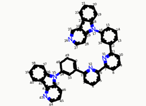 C1=C(c2cccc(-c3cccc(-c4cccc(-n5c6ccccc6c6cnccc65)c4)n3)n2)C=C(n2c3ccccc3c3ncccc32)CC1